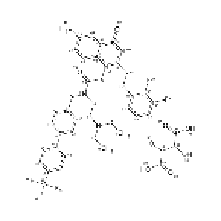 CCN(CC)CCN(Cc1ccc(-c2ccc(C(F)(F)F)cc2)cc1)C(=O)Cn1c(CCc2cccc(F)c2F)nc(=O)c2cc(C)ccc21.O=C(O)C(O)C(O)C(=O)O